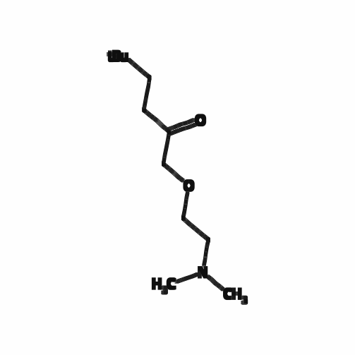 CN(C)CCOCC(=O)CCC(C)(C)C